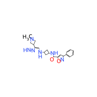 CN1CC(/C(=C/NC2CC(NC(=O)c3cc(-c4ccccc4)no3)C2)N=N)C1